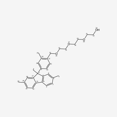 Cc1ccc2c(c1)C(C)(c1ccc(COCCOCCOCCO)c(C)c1)c1cc(C)ccc1-2